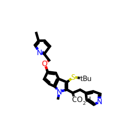 Cc1ccc(COc2ccc3c(c2)c(SC(C)(C)C)c(C(Cc2ccncc2)C(=O)O)n3C)nc1